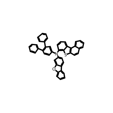 c1ccc(-c2ccc(N(c3ccc4c(c3)oc3ccccc34)c3cccc4c3sc3ccc5ccccc5c34)cc2-c2ccccc2)cc1